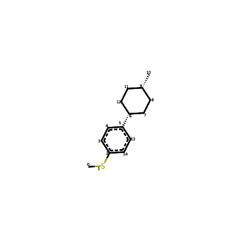 CSc1ccc([C@H]2CC[C@@H](C)CC2)cc1